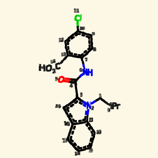 CC(C)Cn1c(C(=O)Nc2ccc(Cl)cc2C(=O)O)cc2ccccc21